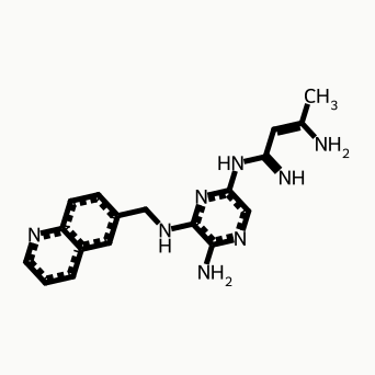 C/C(N)=C/C(=N)Nc1cnc(N)c(NCc2ccc3ncccc3c2)n1